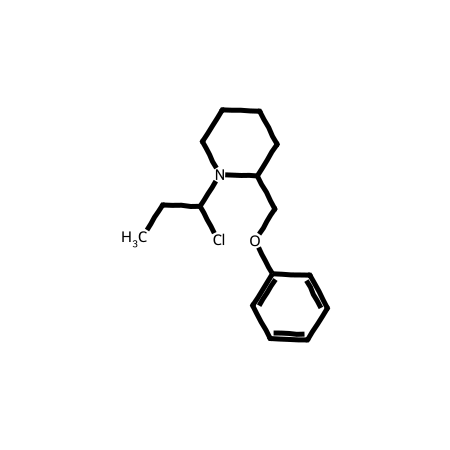 CCC(Cl)N1CCCCC1COc1ccccc1